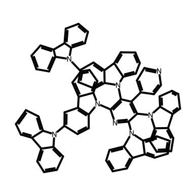 c1ccc2c(c1)c1ccccc1n2-c1ccc2c(c1)c1cc(-n3c4ccccc4c4ccccc43)ccc1n2-c1nc(-n2c3ccccc3c3ccccc32)c(-n2c3ccccc3c3ccccc32)c(-c2ccncc2)c1-n1c2ccccc2c2ccccc21